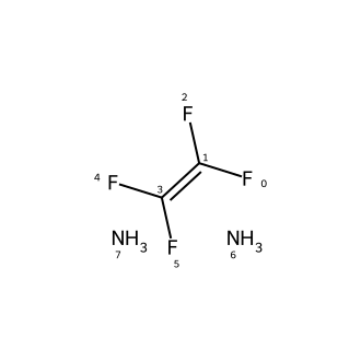 FC(F)=C(F)F.N.N